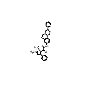 Cc1cc(-c2ccccc2)c(C(=O)C(=O)Nc2ccc3c(c2)OCC2CN(c4ncccn4)CCN32)n1C